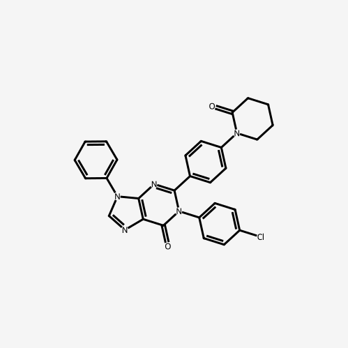 O=C1CCCCN1c1ccc(-c2nc3c(ncn3-c3ccccc3)c(=O)n2-c2ccc(Cl)cc2)cc1